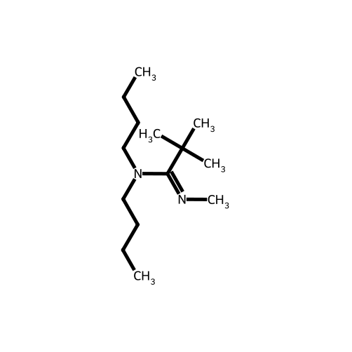 CCCCN(CCCC)C(=NC)C(C)(C)C